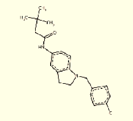 CC(C)(C)CC(=O)Nc1ccc2c(c1)CCN2Cc1ccc(Cl)cc1